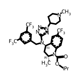 CC(C)OC(=O)N1c2ccc(C(F)(F)F)cc2[C@@H](N(Cc2cc(C(F)(F)F)cc(C(F)(F)F)c2)c2nnn(C3CCN(C)CC3)n2)C[C@H]1C